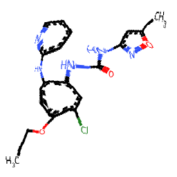 CCOc1cc(Nc2ccccn2)c(NC(=O)Nc2cc(C)on2)cc1Cl